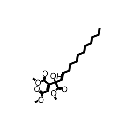 CCCCCCCCCCCC[C@](O)(C(=O)OC)C(=CC(=O)OC)C(=O)OC